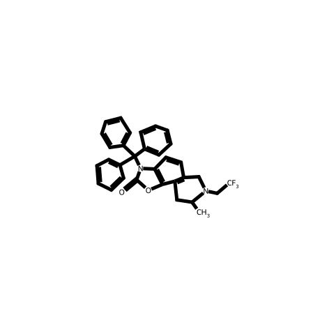 CC1Cc2c(ccc3c2oc(=O)n3C(c2ccccc2)(c2ccccc2)c2ccccc2)CN1CC(F)(F)F